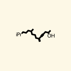 C=C(C#CCC(C)O)CCCC(C)CCCC(C)C